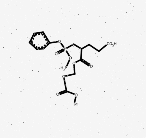 CC(C)OC(=O)OCOC(=O)C(CCC(=O)O)CP(=O)(OP)Oc1ccccc1